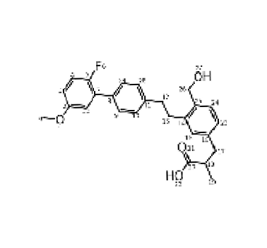 COc1ccc(F)c(-c2ccc(CCc3cc(CC(C)C(=O)O)ccc3CO)cc2)c1